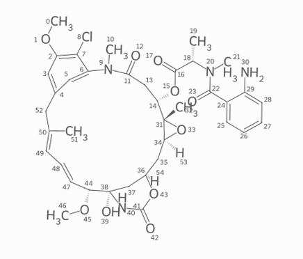 COc1cc2cc(c1Cl)N(C)C(=O)C[C@H](OC(=O)[C@H](C)N(C)C(=O)c1ccccc1N)[C@]1(C)O[C@H]1C[C@@H]1C[C@@](O)(NC(=O)O1)[C@H](OC)/C=C/C=C(\C)C2